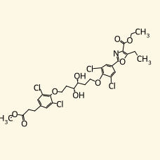 CCOC(=O)c1nc(-c2cc(Cl)c(OCC[C@H](O)[C@@H](O)CCOc3c(Cl)cc(CCC(=O)OC)cc3Cl)c(Cl)c2)oc1CC